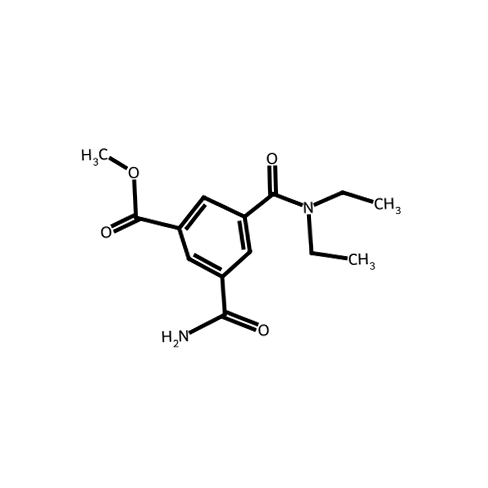 CCN(CC)C(=O)c1cc(C(N)=O)cc(C(=O)OC)c1